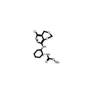 CC(C)(C)OC(=O)N[C@@H]1CCCC[C@H]1Nc1nnc(Cl)c2c1CCOC2